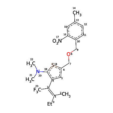 CC/C(C)=C(/c1cc(COCc2ccc(C)cc2[N+](=O)[O-])sc1N(C)C)C(F)(F)F